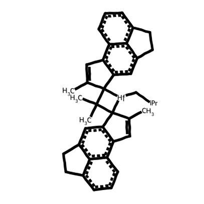 CC1=Cc2c(cc3c4c(cccc24)CC3)[C]12[Hf]([CH2]C(C)C)[C]1(C(C)=Cc3c1cc1c4c(cccc34)CC1)C2(C)C